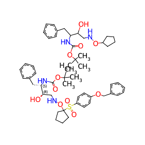 CC(C)(C)OC(=O)NC(Cc1ccccc1)C(O)CNOC1CCCC1.CC(C)(C)OC(=O)N[C@@H](Cc1ccccc1)[C@H](O)CNOC1(S(=O)(=O)c2ccc(OCc3ccccc3)cc2)CCCC1